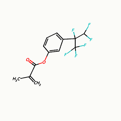 C=C(C)C(=O)Oc1cccc(C(F)(C(F)F)C(F)(F)F)c1